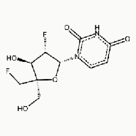 O=c1ccn([C@@H]2O[C@@](CO)(CF)[C@@H](O)[C@@H]2F)c(=O)[nH]1